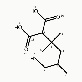 CC(CS)CC(C)(C)C(C(=O)O)C(=O)O